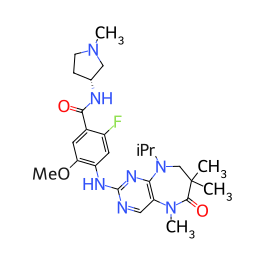 COc1cc(C(=O)N[C@@H]2CCN(C)C2)c(F)cc1Nc1ncc2c(n1)N(C(C)C)CC(C)(C)C(=O)N2C